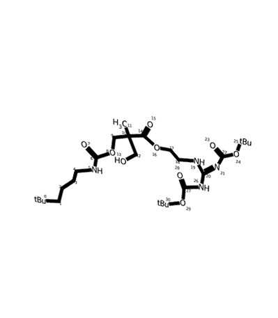 CC(C)(C)CCCCNC(=O)OCC(C)(CO)C(=O)OCCN/C(=N\C(=O)OC(C)(C)C)NC(=O)OC(C)(C)C